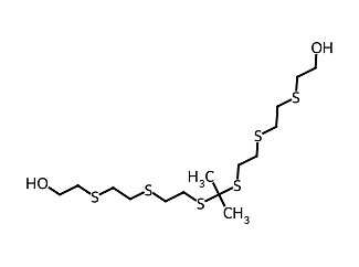 CC(C)(SCCSCCSCCO)SCCSCCSCCO